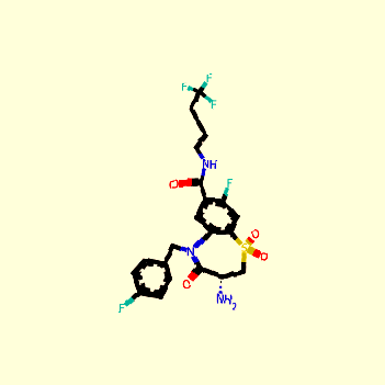 N[C@H]1CS(=O)(=O)c2cc(F)c(C(=O)NCCCC(F)(F)F)cc2N(Cc2ccc(F)cc2)C1=O